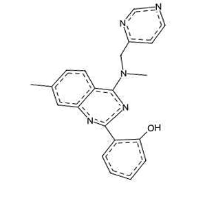 Cc1ccc2c(N(C)Cc3ccncn3)nc(-c3ccccc3O)nc2c1